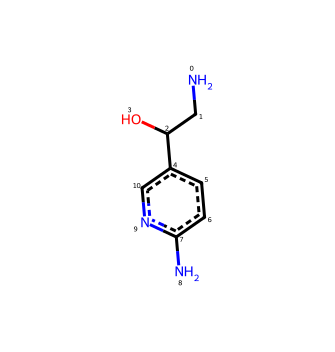 NCC(O)c1ccc(N)nc1